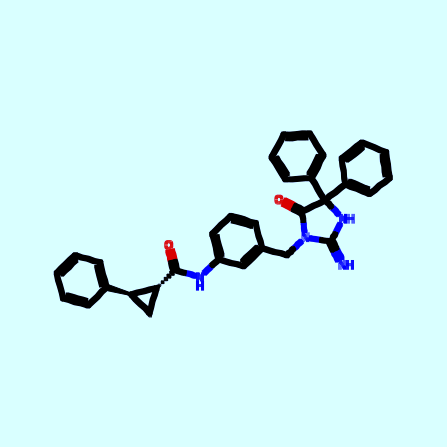 N=C1NC(c2ccccc2)(c2ccccc2)C(=O)N1Cc1cccc(NC(=O)[C@@H]2C[C@H]2c2ccccc2)c1